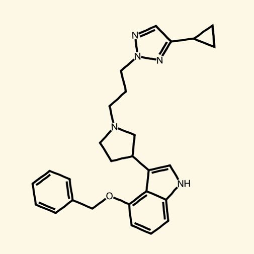 c1ccc(COc2cccc3[nH]cc(C4CCN(CCCn5ncc(C6CC6)n5)C4)c23)cc1